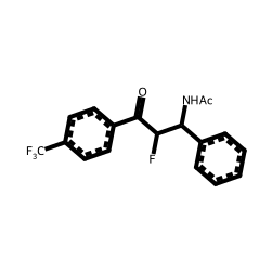 CC(=O)NC(c1ccccc1)C(F)C(=O)c1ccc(C(F)(F)F)cc1